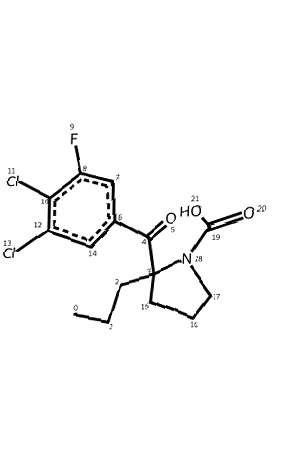 CCCC1(C(=O)c2cc(F)c(Cl)c(Cl)c2)CCCN1C(=O)O